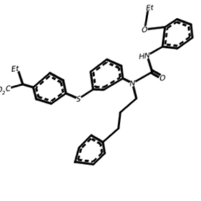 CCOc1ccccc1NC(=O)N(CCCc1ccccc1)c1cccc(Sc2ccc(C(CC)C(=O)O)cc2)c1